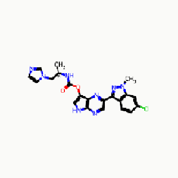 C[C@H](Cn1ccnc1)NC(=O)Oc1c[nH]c2ncc(-c3nn(C)c4cc(Cl)ccc34)nc12